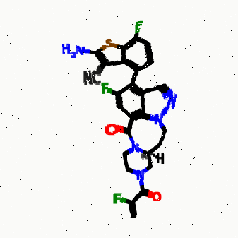 C=C(F)C(=O)N1CCN2C(=O)c3cc(F)c(-c4ccc(F)c5sc(N)c(C#N)c45)c4cnn(c34)CC[C@H]2C1